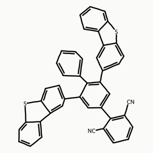 N#Cc1cccc(C#N)c1-c1cc(-c2ccc3sc4ccccc4c3c2)c(-c2ccccc2)c(-c2ccc3sc4ccccc4c3c2)c1